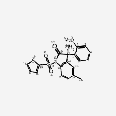 COc1ccccc1C1(N)C(=O)N(S(=O)(=O)c2cccs2)c2ccc(C)cc21